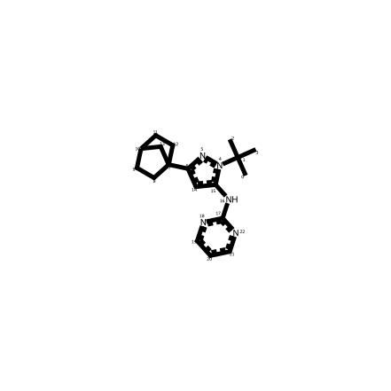 CC(C)(C)n1nc(C23CCC(CC2)C3)cc1Nc1ncccn1